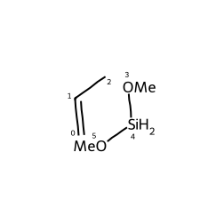 C=CC.CO[SiH2]OC